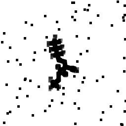 N#CC(CCC(F)(F)C(F)(F)C(F)(F)F)S(=O)(=O)CCC(F)(F)F